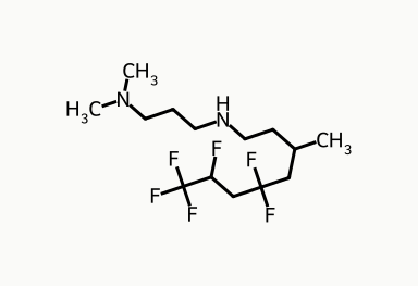 CC(CCNCCCN(C)C)CC(F)(F)CC(F)C(F)(F)F